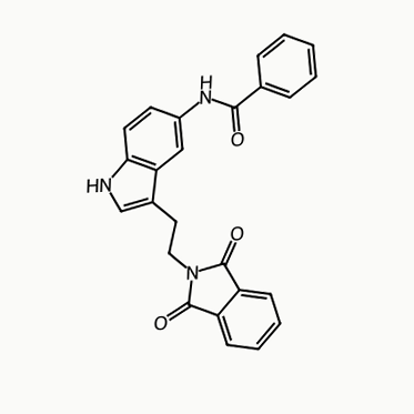 O=C(Nc1ccc2[nH]cc(CCN3C(=O)c4ccccc4C3=O)c2c1)c1ccccc1